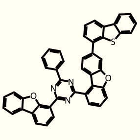 c1ccc(-c2nc(-c3cccc4c3oc3ccccc34)nc(-c3cccc4oc5cc(-c6cccc7c6sc6ccccc67)ccc5c34)n2)cc1